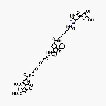 O=C(/C=C/c1cn([C@H]2C[C@@H](O)[C@@H](CO)O2)c(=O)[nH]c1=O)NCCCCCCNC(=O)c1ccc(C(=O)NCCOCCOCCOCCONC(=O)c2cc(C(=O)O)c3c(n2)C(=O)C(=O)c2cc(C(=O)O)[nH]c2-3)c(P(=O)(c2ccccc2)c2ccccc2)c1